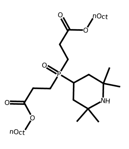 CCCCCCCCOC(=O)CCP(=O)(CCC(=O)OCCCCCCCC)C1CC(C)(C)NC(C)(C)C1